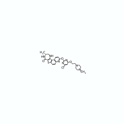 C[C@@H]1CNc2c(sc3ccc4nc(Oc5nc(Cl)cc(OCCN6CCN(C)CC6)n5)ccc4c23)C(=O)N1